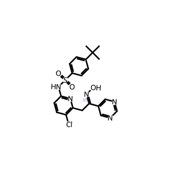 CC(C)(C)c1ccc(S(=O)(=O)Nc2ccc(Cl)c(C/C(=N/O)c3cncnc3)n2)cc1